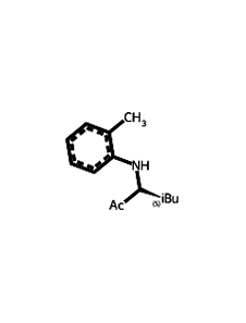 CC[C@H](C)C(Nc1ccccc1C)C(C)=O